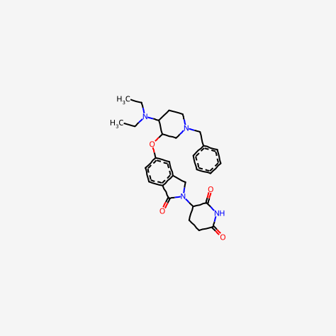 CCN(CC)C1CCN(Cc2ccccc2)CC1Oc1ccc2c(c1)CN(C1CCC(=O)NC1=O)C2=O